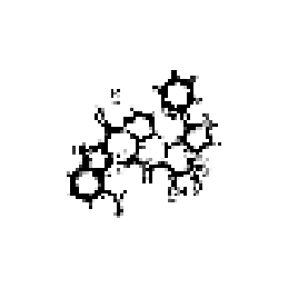 COc1cccc2[nH]c(C(=O)N3C[C@H](c4ccccc4)C[C@H]3C(=O)N[C@@H](C[C@@H]3CCNC3=O)C(O)S(=O)(=O)[O-])cc12.[K+]